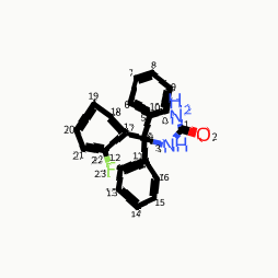 NC(=O)NC(c1ccccc1)(c1ccccc1)c1ccccc1F